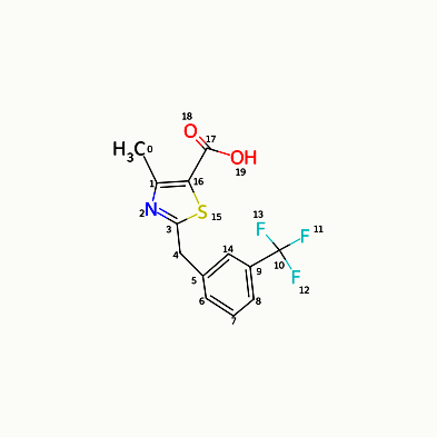 Cc1nc(Cc2cccc(C(F)(F)F)c2)sc1C(=O)O